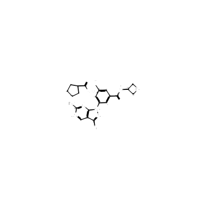 CNC(=O)[C@]1(C)CC[C@@H](Nc2ncc3c(Br)nn(-c4cc(Cl)cc(C(=O)NC5CNC5)c4)c3n2)C1